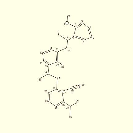 COc1ccccc1C(C)Cc1cccc(C(C)Cc2cccc(C(C)C)c2C#N)c1C